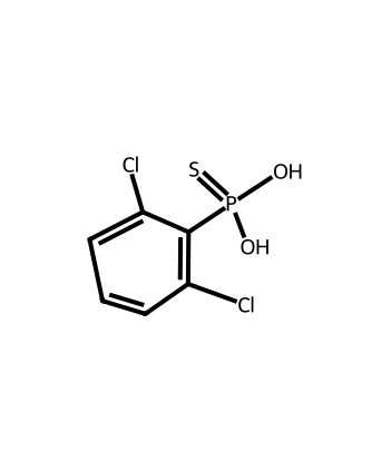 OP(O)(=S)c1c(Cl)cccc1Cl